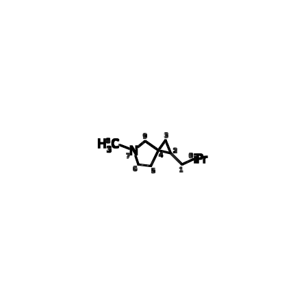 CC(C)CC1CC12CCN(C)C2